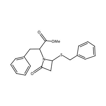 COC(=O)C(Cc1ccccc1)N1C(=O)CC1SCc1ccccc1